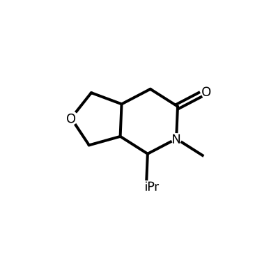 CC(C)C1C2COCC2CC(=O)N1C